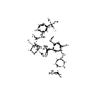 COc1cc(F)c(O[C@H]2CC[C@@H](C(=O)O)CC2)cc1C(=O)N[C@@H]1[C@H]2CC[C@H](C2)[C@@H]1C(=O)Nc1cc(C(F)(F)F)ccn1